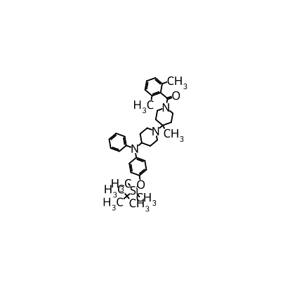 Cc1cccc(C)c1C(=O)N1CCC(C)(N2CCC(N(c3ccccc3)c3ccc(O[Si](C)(C)C(C)(C)C)cc3)CC2)CC1